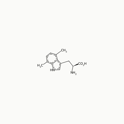 Cc1ccc(C)c2c(C[C@H](N)C(=O)O)c[nH]c12